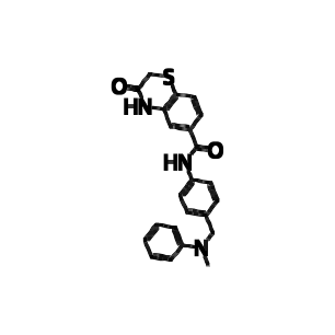 CN(Cc1ccc(NC(=O)c2ccc3c(c2)NC(=O)CS3)cc1)c1ccccc1